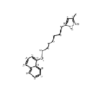 Cc1cc(CCCCCCCOc2cccc3ccccc23)on1